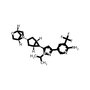 CC(C)n1nc(-c2cnc(N)c(C(F)(F)F)c2)cc1[C@H]1[C@@H]2C[C@H](N3C[C@@H]4C[C@H]3CO4)C[C@@H]21